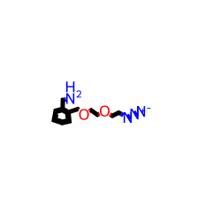 [N-]=[N+]=NCCOCCOCc1ccccc1CN